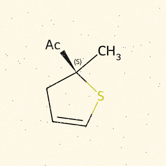 CC(=O)[C@]1(C)CC=CS1